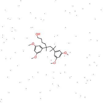 COc1cc(OC)cc(C(C)(C)CC(C)(CCCCO)c2cc(OC)cc(OC)c2)c1